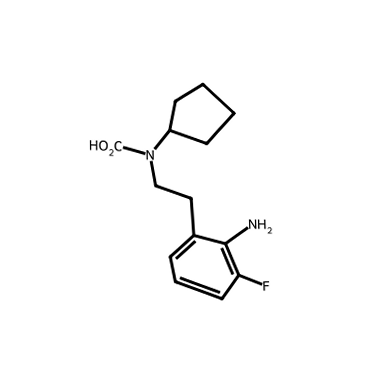 Nc1c(F)cccc1CCN(C(=O)O)C1CCCC1